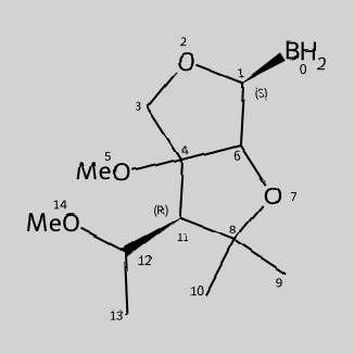 B[C@@H]1OCC2(OC)C1OC(C)(C)[C@H]2C(C)OC